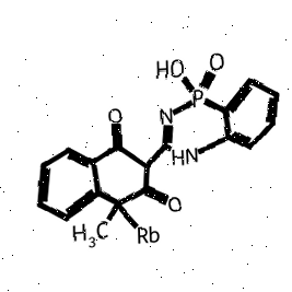 C[C]1([Rb])C(=O)C(C2=NP(=O)(O)c3ccccc3N2)C(=O)c2ccccc21